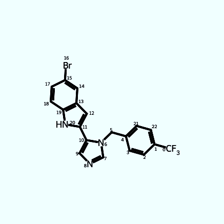 FC(F)(F)c1ccc(Cn2cncc2-c2cc3cc(Br)ccc3[nH]2)cc1